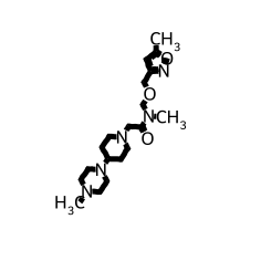 Cc1cc(COCN(C)C(=O)CN2CCC(N3CCN(C)CC3)CC2)no1